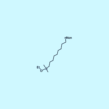 CCCCCCCCCCCCCCCCCC[Si](C)(C)OCC